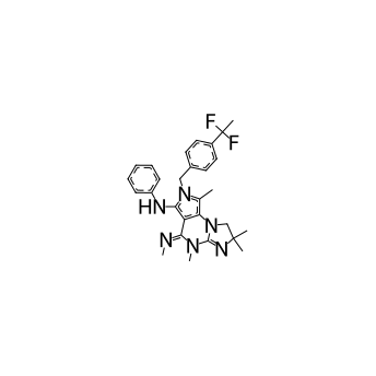 C/N=C1/c2c(c(C)n(Cc3ccc(C(C)(F)F)cc3)c2Nc2ccccc2)N2CC(C)(C)N=C2N1C